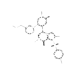 CSCc1cccc(-c2cn(C)c(=O)cc2-c2cn(C)c(=O)c3c2cc(Cl)n3S(=O)(=O)c2ccc(C)cc2)c1